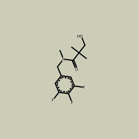 CN(Cc1cc(F)c(F)c(F)c1)C(=O)C(C)(C)CO